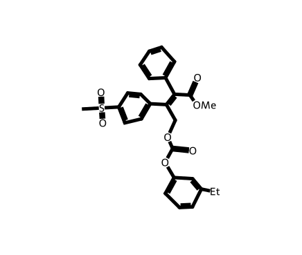 CCc1cccc(OC(=O)OC/C(=C(\C(=O)OC)c2ccccc2)c2ccc(S(C)(=O)=O)cc2)c1